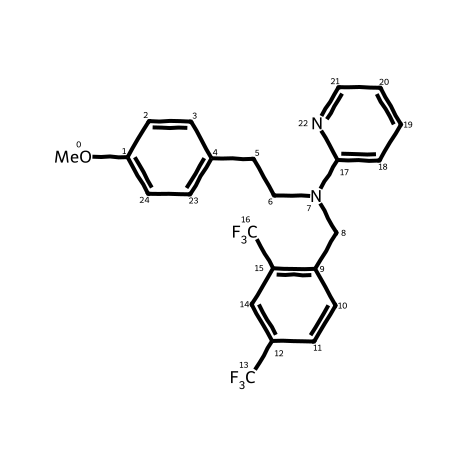 COc1ccc(CCN(Cc2ccc(C(F)(F)F)cc2C(F)(F)F)c2ccccn2)cc1